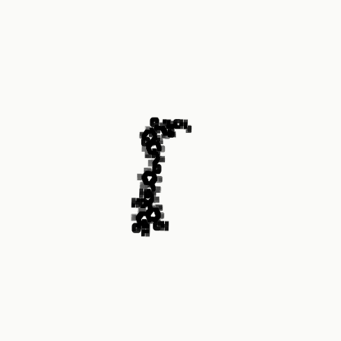 Cc1nc(C(=O)N2CCOC3(CCN(CCOc4cccc(CNC[C@H](O)c5ccc(O)c6[nH]c(=O)ccc56)c4)CC3)C2)cs1